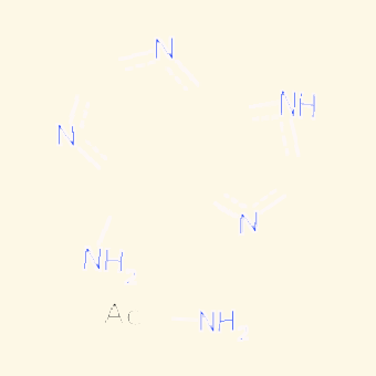 CC(N)=O.Nc1ncnc2[nH]cnc12